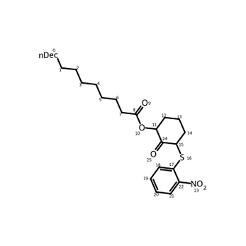 CCCCCCCCCCCCCCCCCC(=O)OC1CCCC(Sc2ccccc2[N+](=O)[O-])C1=O